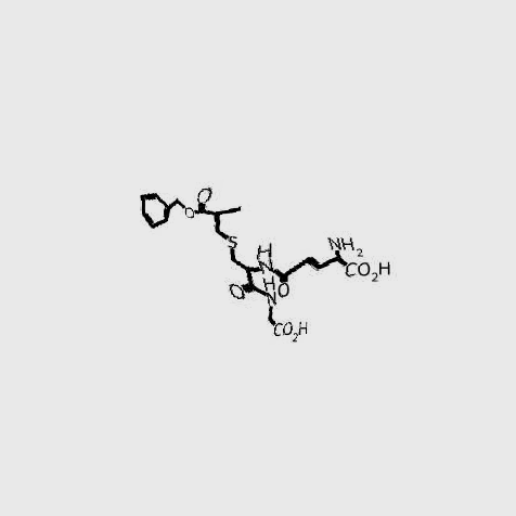 CC(CSCC(NC(=O)CCC(N)C(=O)O)C(=O)NCC(=O)O)C(=O)OCc1ccccc1